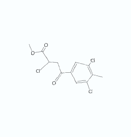 COC(=O)C(Cl)CC(=O)c1cc(Cl)c(C)c(Cl)c1